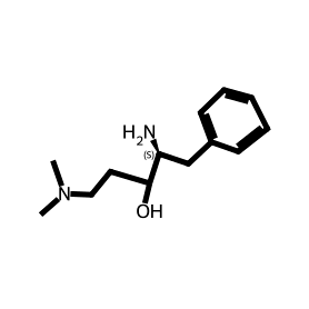 CN(C)CCC(O)[C@@H](N)Cc1ccccc1